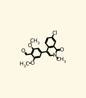 COc1cc(-c2cn(C)c(=O)c3cc(Cl)ccc23)cc(OC)c1C=O